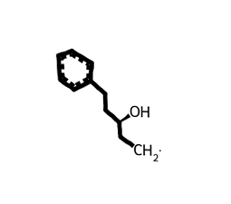 [CH2]C[C@H](O)CCc1ccccc1